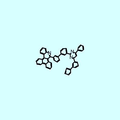 c1ccc(-c2cccc(-c3cc(-c4ccccc4)nc(-c4cccc(-c5cccc(-c6nc7ccccc7c7c8ccccc8c8ccccc8c67)c5)c4)n3)c2)cc1